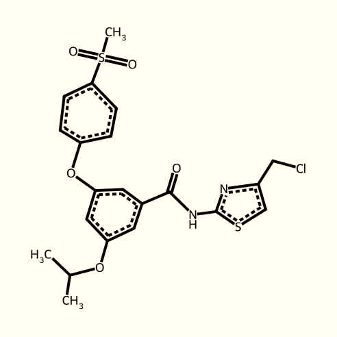 CC(C)Oc1cc(Oc2ccc(S(C)(=O)=O)cc2)cc(C(=O)Nc2nc(CCl)cs2)c1